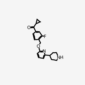 O=C(c1ccc(COc2cccc(C3CCNCC3)n2)c(F)c1)C1CC1